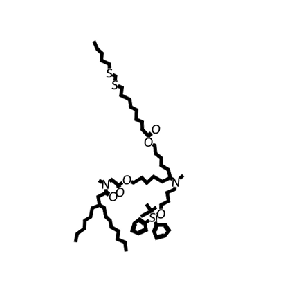 CCCCCCCCC(CCCCCC)CC(=O)N(C)CC(=O)OCCCCCC(CCCCCOC(=O)CCCCCCCCSCSCCCCC)N(C)CCCCO[Si](c1ccccc1)(c1ccccc1)C(C)(C)C